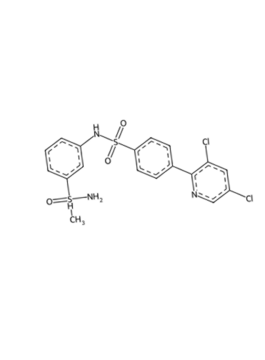 C[SH](N)(=O)c1cccc(NS(=O)(=O)c2ccc(-c3ncc(Cl)cc3Cl)cc2)c1